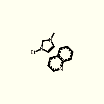 CCN1C=CN(C)C1.c1ccc2ncccc2c1